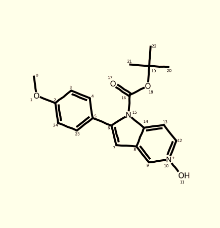 COc1ccc(-c2cc3c[n+](O)ccc3n2C(=O)OC(C)(C)C)cc1